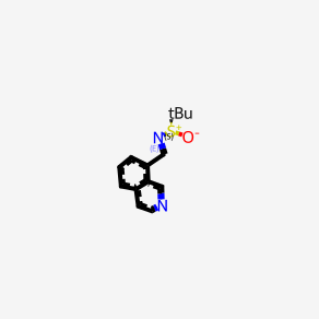 CC(C)(C)[S@@+]([O-])/N=C/c1cccc2ccncc12